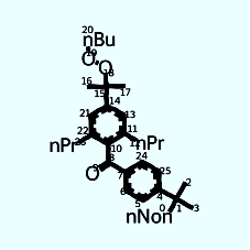 CCCCCCCCCC(C)(C)c1ccc(C(=O)c2c(CCC)cc(C(C)(C)OOCCCC)cc2CCC)cc1